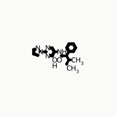 CCC(C)C(C(=O)Nc1cnc(-n2cccn2)nc1O)c1ccccc1